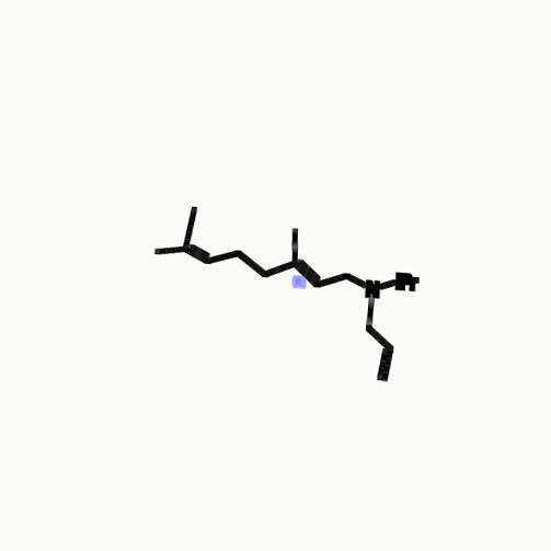 C=CCN(C/C=C(\C)CCC=C(C)C)C(C)C